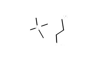 CSCCC(=O)[O-].C[N+](C)(C)C